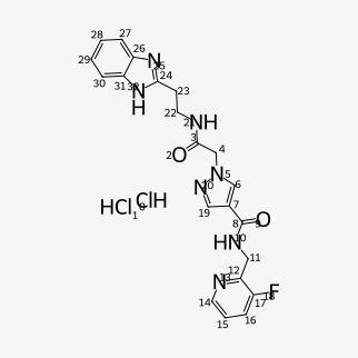 Cl.Cl.O=C(Cn1cc(C(=O)NCc2ncccc2F)cn1)NCCc1nc2ccccc2[nH]1